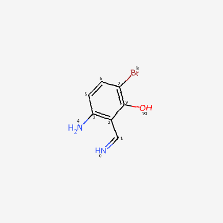 N=Cc1c(N)ccc(Br)c1O